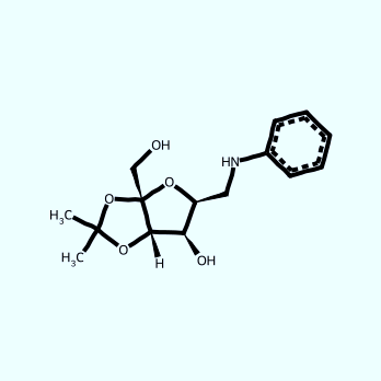 CC1(C)O[C@H]2[C@H](O)[C@H](CNc3ccccc3)O[C@@]2(CO)O1